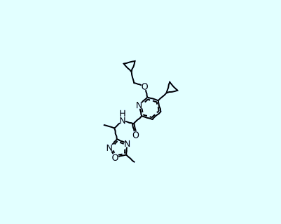 Cc1nc(C(C)NC(=O)c2ccc(C3CC3)c(OCC3CC3)n2)no1